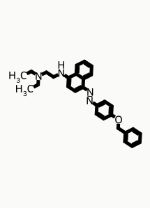 CCN(CC)CCNc1ccc(N=Nc2ccc(OCc3ccccc3)cc2)c2ccccc12